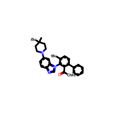 CCC(C)C1(C)CCN(c2ccc3ncn(-c4c(C(C)(C)C)ccc(-c5ccccc5)c4C(=O)OC)c3c2)CC1